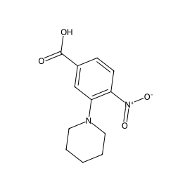 O=C(O)c1ccc([N+](=O)[O-])c(N2CCCCC2)c1